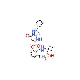 Cc1cccc(OCc2cc(=O)n3nc(-c4ccccc4)nc3[nH]2)c1C(=O)NCC1(CO)CCC1